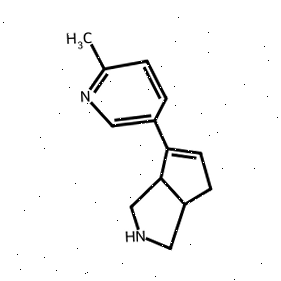 Cc1ccc(C2=CCC3CNCC23)cn1